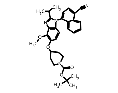 COc1c(OC2CCN(C(=O)OC(C)(C)C)CC2)ccc2c1nc(C(C)C)n2-c1ccc(C#N)c2ccccc12